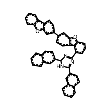 c1ccc2cc(C3=NC(c4cccc5oc6cc(-c7ccc8c(c7)oc7ccccc78)ccc6c45)=NC(c4ccc5ccccc5c4)N3)ccc2c1